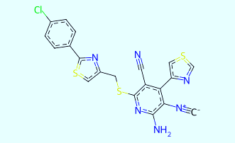 [C-]#[N+]c1c(N)nc(SCc2csc(-c3ccc(Cl)cc3)n2)c(C#N)c1-c1cscn1